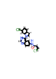 O=C(/C=C\Cl)Nc1ccc2ncnc(N3CCc4ccc(Cl)cc43)c2c1